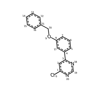 Clc1cc(-c2cccc(OCc3ccccc3)c2)ncn1